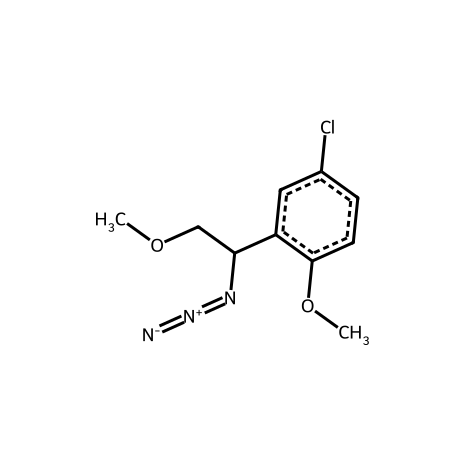 COCC(N=[N+]=[N-])c1cc(Cl)ccc1OC